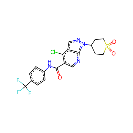 O=C(Nc1ccc(C(F)(F)F)cc1)c1cnc2c(cnn2C2CCS(=O)(=O)CC2)c1Cl